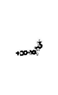 COc1cc2nn(C3CCC4(CC3)CCN(C(C)(C)C)CC4)cc2cc1NC(=O)c1cccc(C(F)(F)F)n1